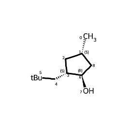 C[C@H]1C[C@@H](CC(C)(C)C)[C@H](O)C1